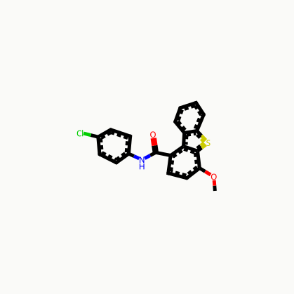 COc1ccc(C(=O)Nc2ccc(Cl)cc2)c2c1sc1ccccc12